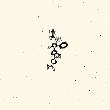 CC(F)(F)C(=O)N[C@H]1CC(=O)N(c2ccc3c(cnn3C3CCN(C(=O)C4CC4)CC3)c2)[C@@H]1c1ccccc1